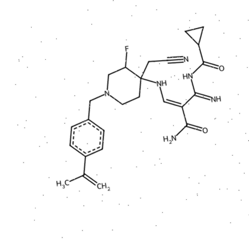 C=C(C)c1ccc(CN2CCC(CC#N)(N/C=C(\C(=N)NC(=O)C3CC3)C(N)=O)C(F)C2)cc1